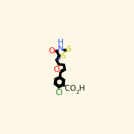 O=C1NC(=S)S/C1=C\C1CC=C(c2ccc(Cl)c(C(=O)O)c2)O1